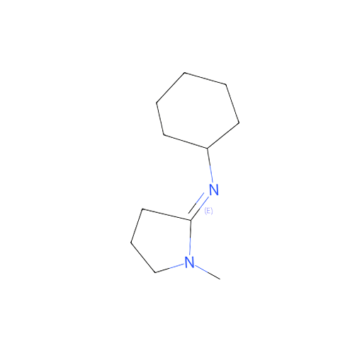 CN1CCC/C1=N\C1CCCCC1